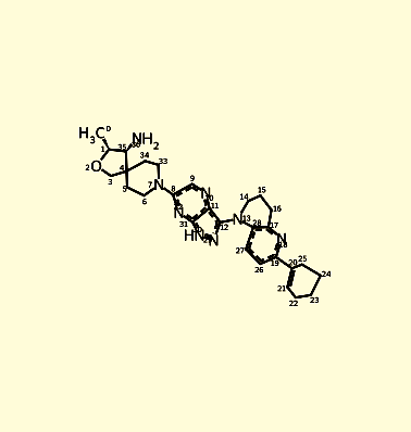 C[C@@H]1OCC2(CCN(c3cnc4c(N5CCCc6nc(C7=CCCCC7)ccc65)n[nH]c4n3)CC2)[C@@H]1N